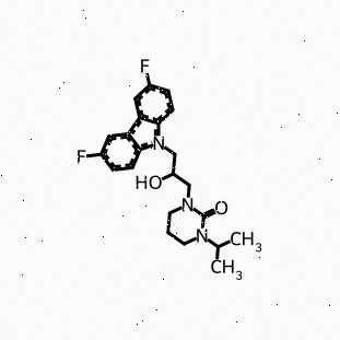 CC(C)N1CCCN(CC(O)Cn2c3ccc(F)cc3c3cc(F)ccc32)C1=O